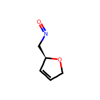 O=NC[C@@H]1C=CCO1